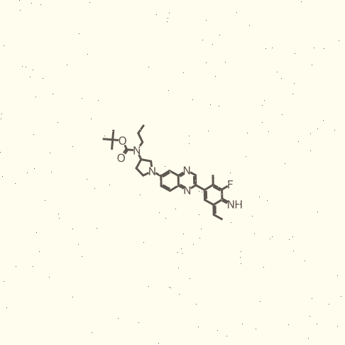 C/C=C1/C=C(c2cnc3cc(N4CCC(N(CCC)C(=O)OC(C)(C)C)C4)ccc3n2)C(C)=C(F)C1=N